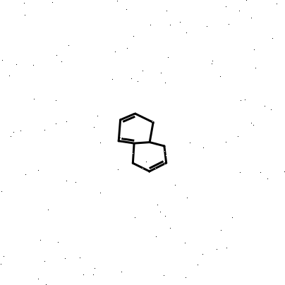 C1=CCC2CC=CCC2=C1